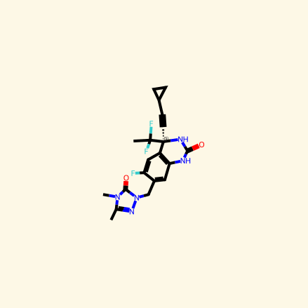 Cc1nn(Cc2cc3c(cc2F)[C@@](C#CC2CC2)(C(C)(F)F)NC(=O)N3)c(=O)n1C